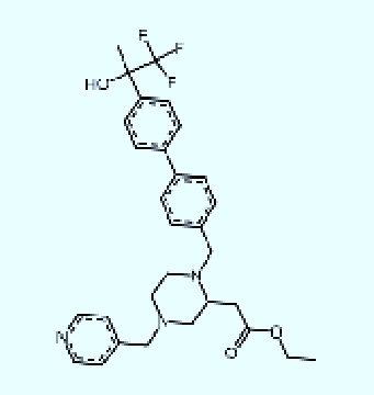 CCOC(=O)CC1CN(Cc2ccncc2)CCN1Cc1ccc(-c2ccc(C(C)(O)C(F)(F)F)cc2)cc1